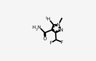 [1H]c1c(C(N)=O)c(C(F)F)nn1C